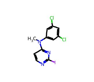 CN(c1cc(Cl)cc(Cl)c1)c1ccnc(I)n1